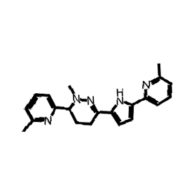 Cc1cccc(-c2ccc(C3=NN(C)C(c4cccc(C)n4)CC3)[nH]2)n1